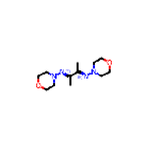 CC(=N\N1CCOCC1)/C(C)=N/N1CCOCC1